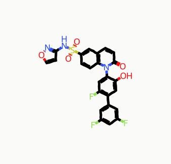 O=c1ccc2cc(S(=O)(=O)Nc3ccon3)ccc2n1-c1cc(F)c(-c2cc(F)cc(F)c2)cc1O